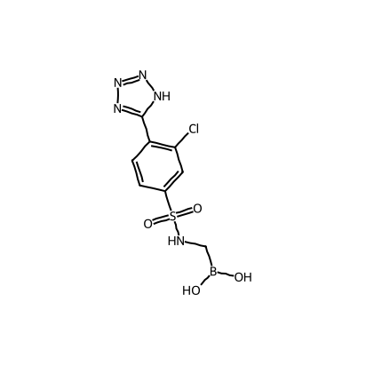 O=S(=O)(NCB(O)O)c1ccc(-c2nnn[nH]2)c(Cl)c1